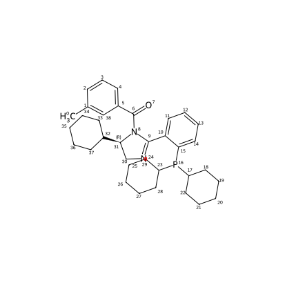 Cc1cccc(C(=O)N2C(c3ccccc3P(C3CCCCC3)C3CCCCC3)=NC[C@H]2C2CCCCC2)c1